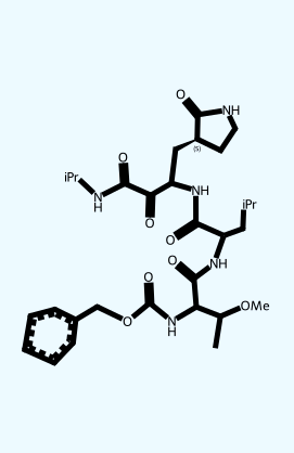 COC(C)C(NC(=O)OCc1ccccc1)C(=O)NC(CC(C)C)C(=O)NC(C[C@@H]1CCNC1=O)C(=O)C(=O)NC(C)C